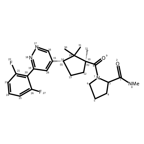 CNC(=O)C1CCCN1C(=O)[C@@]1(C)CC[C@H](c2cnnc(-c3c(F)cccc3F)c2)C1(C)C